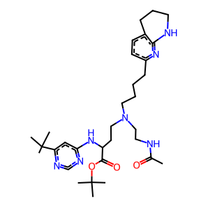 CC(=O)NCCN(CCCCc1ccc2c(n1)NCCC2)CCC(Nc1cc(C(C)(C)C)ncn1)C(=O)OC(C)(C)C